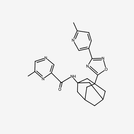 Cc1ccc(-c2noc(C34CC5CC(CC(NC(=O)c6cncc(C)n6)(C5)C3)C4)n2)cn1